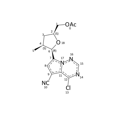 CC(=O)OC[C@@H]1C[C@H](C)[C@H](c2cc(C#N)c3c(Cl)ncnn23)O1